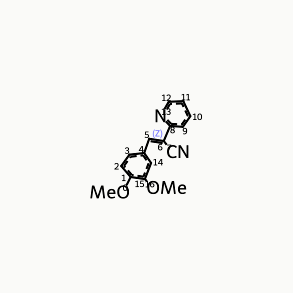 COc1ccc(/C=C(\C#N)c2ccccn2)cc1OC